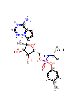 C[C@H](NP(=O)(OC[C@H]1O[C@@](C#N)(c2ccc3c(N)ncnn23)[C@H](O)[C@@H]1O)Oc1ccc(C(C)(C)C)cc1)C(=O)O